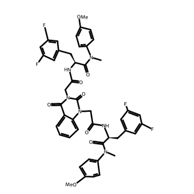 COc1ccc(N(C)C(=O)[C@H](Cc2cc(F)cc(F)c2)NC(=O)Cn2c(=O)c3ccccc3n(CC(=O)N[C@@H](Cc3cc(F)cc(F)c3)C(=O)N(C)c3ccc(OC)cc3)c2=O)cc1